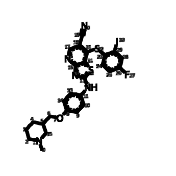 CN1CCCC(COc2ccc(Nc3nc4ncc(C#N)c(Sc5ccc(F)cc5I)c4s3)cc2)C1